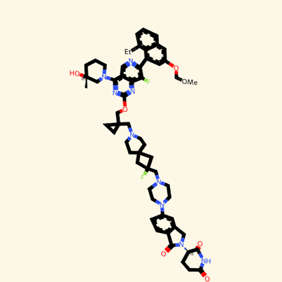 CCc1cccc2cc(OCOC)cc(-c3ncc4c(N5CCC[C@@](C)(O)C5)nc(OCC5(CN6CCC7(CC6)CC(F)(CN6CCN(c8ccc9c(c8)CN([C@H]8CCC(=O)NC8=O)C9=O)CC6)C7)CC5)nc4c3F)c12